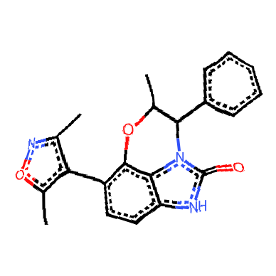 Cc1noc(C)c1-c1ccc2[nH]c(=O)n3c2c1OC(C)C3c1ccccc1